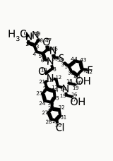 Cn1cc(Cc2cn(CC(=O)N(CCN(CCO)CCO)Cc3ccc(-c4ccc(Cl)cc4)cc3)c(SCc3ccc(F)cc3)nc2=O)cn1